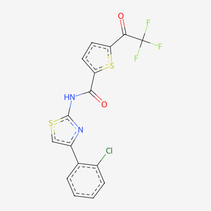 O=C(Nc1nc(-c2ccccc2Cl)cs1)c1ccc(C(=O)C(F)(F)F)s1